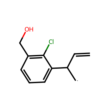 [CH2]C(C=C)c1cccc(CO)c1Cl